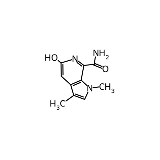 Cc1cn(C)c2c(C(N)=O)nc(O)cc12